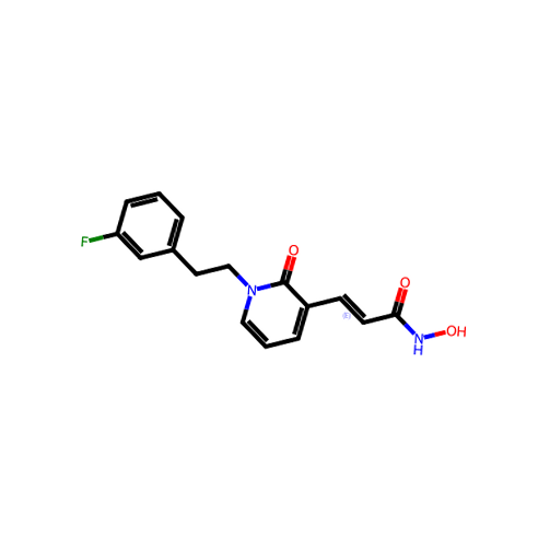 O=C(/C=C/c1cccn(CCc2cccc(F)c2)c1=O)NO